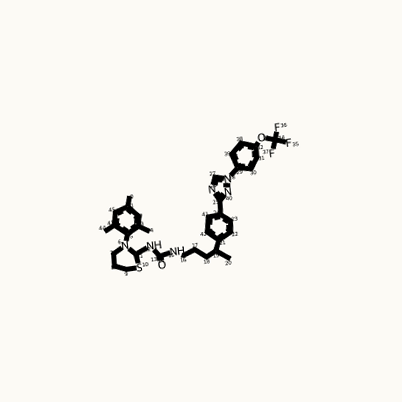 Cc1cc(C)c(N2CCCSC2NC(=O)NCCCC(C)c2ccc(-c3ncn(-c4ccc(OC(F)(F)F)cc4)n3)cc2)c(C)c1